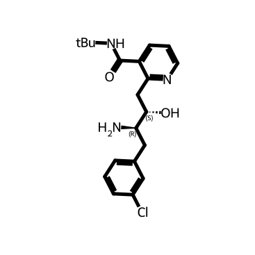 CC(C)(C)NC(=O)c1cccnc1C[C@H](O)[C@H](N)Cc1cccc(Cl)c1